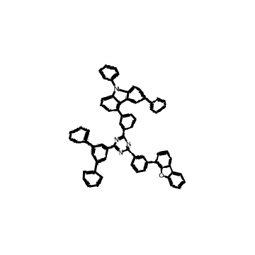 c1ccc(-c2cc(-c3ccccc3)cc(-c3nc(-c4cccc(-c5cccc6c5oc5ccccc56)c4)nc(-c4cccc(-c5cccc6c5c5cc(-c7ccccc7)ccc5n6-c5ccccc5)c4)n3)c2)cc1